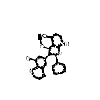 C#COc1c(-c2cc(Cl)c3ncccc3c2)c(-c2ccccc2)nc2[nH]ccc(=O)c12